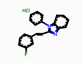 Cl.Fc1cccc(/C=C/c2nc3ccccc3n2-c2ccccc2)c1